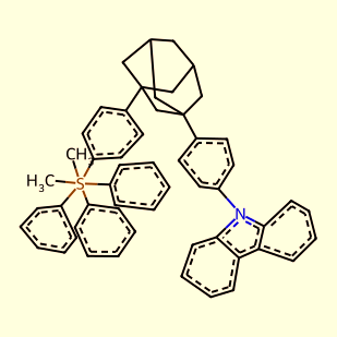 CS(C)(c1ccccc1)(c1ccccc1)(c1ccccc1)c1ccc(C23CC4CC(CC(c5ccc(-n6c7ccccc7c7ccccc76)cc5)(C4)C2)C3)cc1